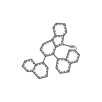 Nn1c2ccccc2c2ccc(-c3cccc4ccccc34)c(-c3cccc4ccccc34)c21